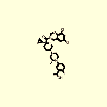 C=C(O)c1cc(N2CCN([C@@H]3CC[C@@](C(=O)N4COc5c(Cl)cc(Cl)cc5C4)(C4CC4)OC3)C[C@@H]2C)ccc1F